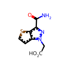 NC(=O)c1nn(CC(=O)O)c2ccsc12